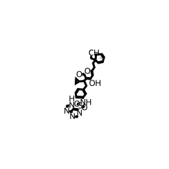 CCC1(CCc2cc(O)c(C(Cc3cccc(NS(=O)(=O)c4ncnc5nc[nH]c45)c3)C3CC3)c(=O)o2)C=CC=CC1